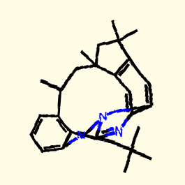 CC1CC2(C)CC(C)(C)c3cc4c(cc32)nc2c3c1cccc3nc(C(C)(C)C)n42